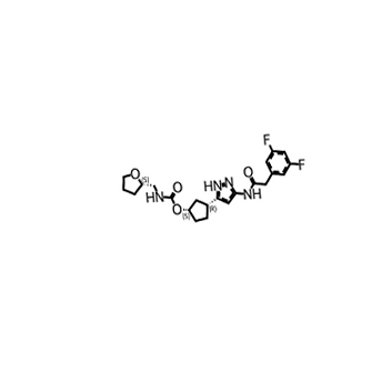 O=C(Cc1cc(F)cc(F)c1)Nc1cc([C@@H]2CC[C@H](OC(=O)NC[C@@H]3CCCO3)C2)[nH]n1